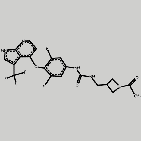 CC(=O)N1CC(CNC(=O)Nc2cc(F)c(Oc3ccnc4[nH]cc(C(F)(F)F)c34)c(F)c2)C1